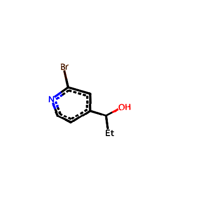 CCC(O)c1ccnc(Br)c1